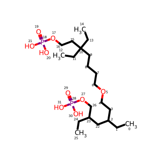 CCC(CCOCCCCC(CC)(CC)CCOP(=O)(O)O)CC(CC)COP(=O)(O)O